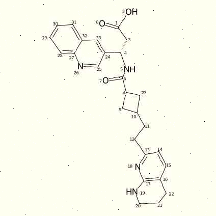 O=C(O)C[C@H](NC(=O)C1CC(CCc2ccc3c(n2)NCCC3)C1)c1cnc2ccccc2c1